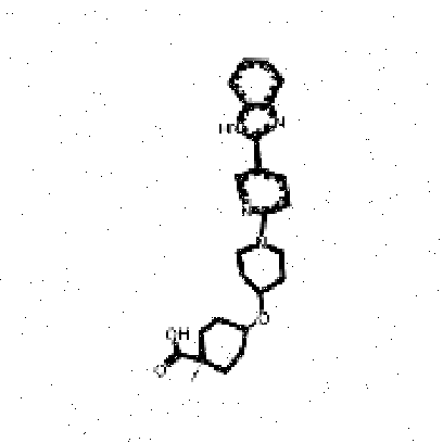 C[C@]1(C(=O)O)CC[C@@H](OC2CCN(c3ccc(-c4nc5ccccc5[nH]4)cn3)CC2)CC1